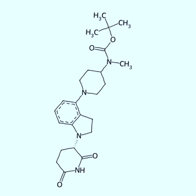 CN(C(=O)OC(C)(C)C)C1CCN(c2cccc3c2CCN3[C@H]2CCC(=O)NC2=O)CC1